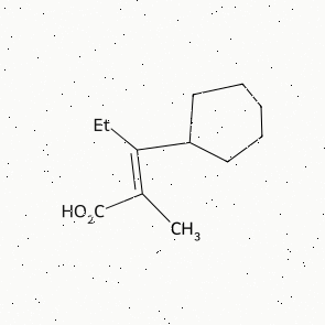 CCC(=C(C)C(=O)O)C1CCCCC1